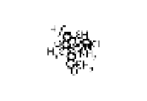 Cc1cc([C@@H](C)Oc2ccc(Cl)nc2C(N)=O)c2oc(-c3ccc4c(c3)CCC(=O)N4C)c(C)c(=O)c2c1